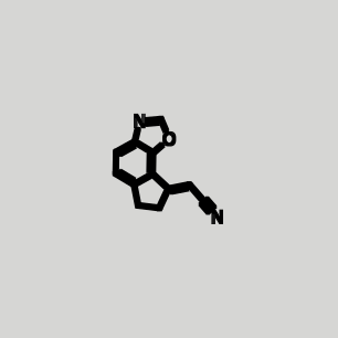 N#C/C=C1\CCc2ccc3ncoc3c21